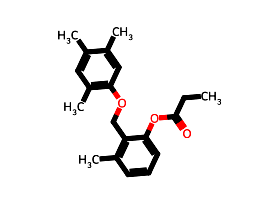 CCC(=O)Oc1cccc(C)c1COc1cc(C)c(C)cc1C